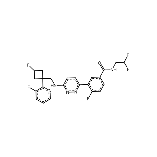 O=C(NCC(F)F)c1ccc(F)c(-c2ccc(NCC3(c4ncccc4F)CC(F)C3)nn2)c1